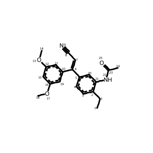 CCc1ccc(C(=CC#N)c2cc(OC)cc(OC)c2)cc1NC(C)=O